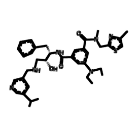 CCN(CC)c1cc(C(=O)N[C@@H](Cc2ccccc2)[C@H](O)CNCc2cncc(C(C)C)c2)cc(C(=O)N(C)Cc2nc(C)cs2)c1